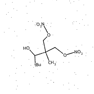 [CH2]C(CO[N+](=O)[O-])(CO[N+](=O)[O-])C(O)C(C)(C)C